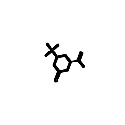 C=C(C)[C@@H]1CC(=O)C[C@@H]([Si](C)(C)C)C1